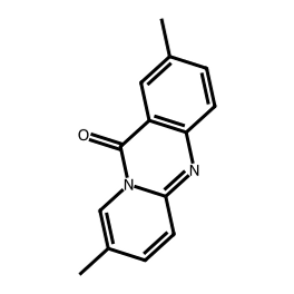 Cc1ccc2nc3ccc(C)cn3c(=O)c2c1